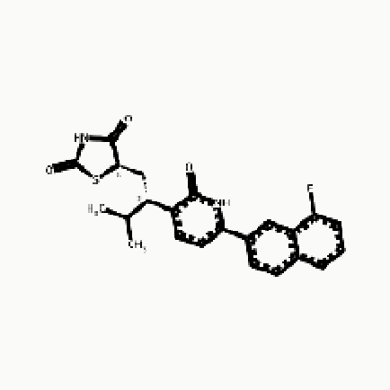 CC(C)[C@H](C[C@H]1SC(=O)NC1=O)c1ccc(-c2ccc3cccc(F)c3c2)[nH]c1=O